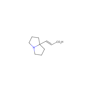 O=C(O)C=CC12CCCN1CCC2